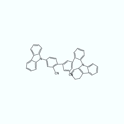 N#Cc1cc(-c2ccc(-n3c4ccccc4c4ccccc43)cc2C#N)cc(-c2ccccc2-n2c3c(c4ccccc42)CCC=C3)c1